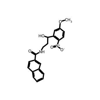 COc1ccc([N+](=O)[O-])c(C(O)CCNC(=O)c2ccc3ccccc3c2)c1